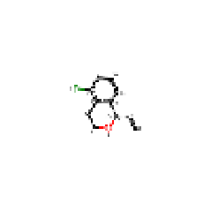 C=C[C@@H]1OCCc2c(F)cccc21